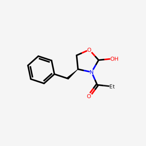 CCC(=O)N1C(O)OC[C@@H]1Cc1ccccc1